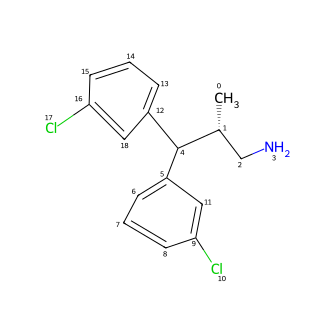 C[C@H](CN)C(c1cccc(Cl)c1)c1cccc(Cl)c1